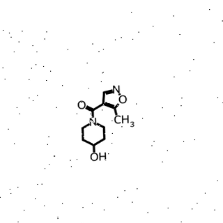 Cc1oncc1C(=O)N1CCC(O)CC1